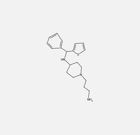 NCCCN1CCC(NC(c2ccccc2)c2cccs2)CC1